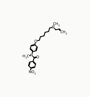 C=CCN(C)CCCCCCOc1ccc(N(C)C(=O)c2ccc([N+](=O)[O-])cc2)cc1